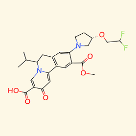 COC(=O)c1cc2c(cc1N1CC[C@H](OCC(F)F)C1)CC(C(C)C)n1cc(C(=O)O)c(=O)cc1-2